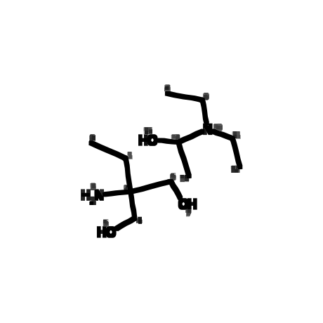 CCC(N)(CO)CO.CCN(CC)C(C)O